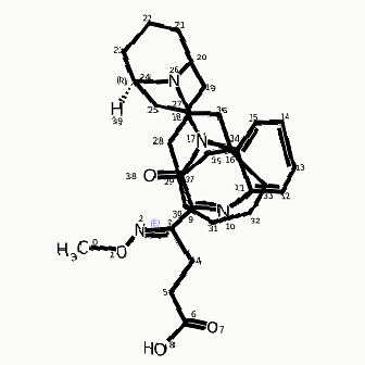 CO/N=C(\CCC(=O)O)c1nc2ccccc2n(C2CC3CCC[C@H](C2)N3C2CC3CCCCC(C3)C2)c1=O